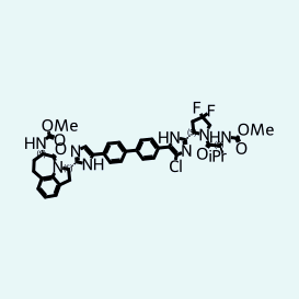 COC(=O)N[C@H]1CCc2cccc3c2N(C1=O)[C@H](c1ncc(-c2ccc(-c4ccc(-c5[nH]c([C@@H]6CC(F)(F)CN6C(=O)[C@@H](NC(=O)OC)C(C)C)nc5Cl)cc4)cc2)[nH]1)C3